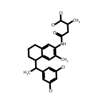 Cc1cc2c(cc1NC(=O)CC(C)C(Cl)Cl)CCCC2C(C)c1cc(Cl)cc(Cl)c1